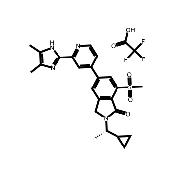 Cc1nc(-c2cc(-c3cc4c(c(S(C)(=O)=O)c3)C(=O)N([C@@H](C)C3CC3)C4)ccn2)[nH]c1C.O=C(O)C(F)(F)F